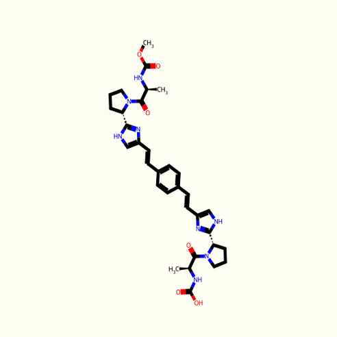 COC(=O)N[C@@H](C)C(=O)N1CCC[C@H]1c1nc(/C=C/c2ccc(/C=C/c3c[nH]c([C@@H]4CCCN4C(=O)[C@H](C)NC(=O)O)n3)cc2)c[nH]1